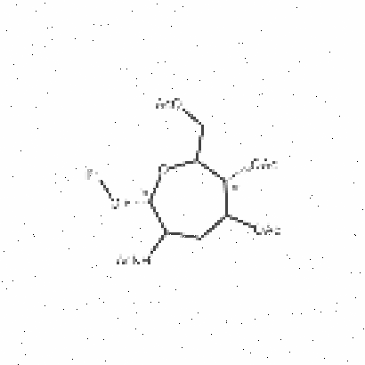 CC(=O)NC1CC(OC(C)=O)[C@@H](OC(C)=O)C(COC(C)=O)O[C@H]1OC(C)C